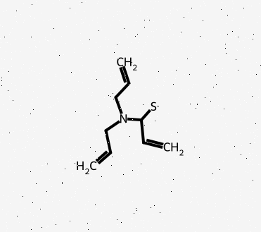 C=CCN(CC=C)C([S])C=C